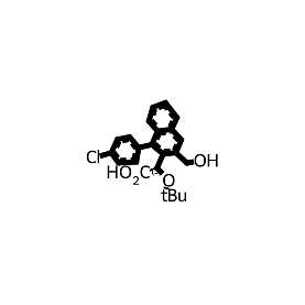 CC(C)(C)O[C@H](C(=O)O)c1c(CO)cc2ccccc2c1-c1ccc(Cl)cc1